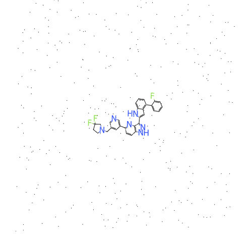 Fc1ccccc1-c1cccc2[nH]c(-c3n[nH]c4ccc(-c5cncc(CN6CCC(F)(F)C6)c5)nc34)cc12